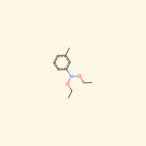 CCON(OCC)c1cccc(C)c1